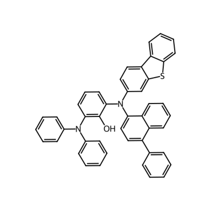 Oc1c(N(c2ccccc2)c2ccccc2)cccc1N(c1ccc2c(c1)sc1ccccc12)c1ccc(-c2ccccc2)c2ccccc12